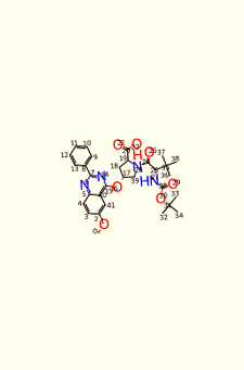 COc1ccc2nc(-c3ccccc3)nc(O[C@@H]3CC(C(=O)O)N(C(=O)[C@@H](NC(=O)OC(C)(C)C)C(C)(C)C)C3)c2c1